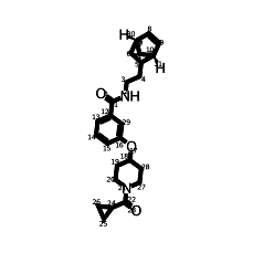 O=C(NCCC1C[C@@H]2C=C[C@H]1C2)c1cccc(OC2CCN(C(=O)C3CC3)CC2)c1